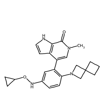 Cn1cc(-c2cc(NOC3CC3)ccc2N2CC3(CCC3)C2)c2cc[nH]c2c1=O